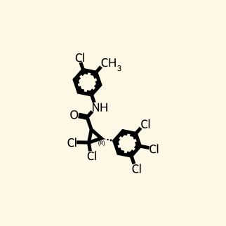 Cc1cc(NC(=O)C2[C@H](c3cc(Cl)c(Cl)c(Cl)c3)C2(Cl)Cl)ccc1Cl